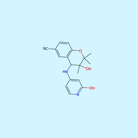 CC1(C)Oc2ccc(C#N)cc2C(Nc2ccnc(O)c2)C1(C)O